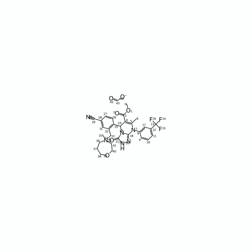 COC(=O)C1=C(C)N(c2cccc(C(F)(F)F)c2)c2n[nH]c(=O)n2C1c1ccc(C#N)cc1C[N+]1(C)CCCOCC1.O=C[O-]